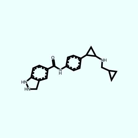 O=C(Nc1ccc(C2CC2NCC2CC2)cc1)c1ccc2c(c1)CNN2